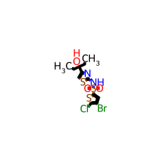 CCC(O)(CC)c1csc(NS(=O)(=O)c2cc(Br)c(Cl)s2)n1